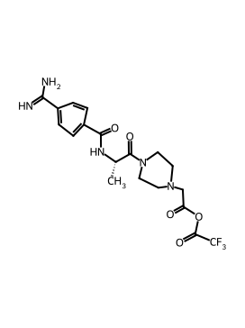 C[C@H](NC(=O)c1ccc(C(=N)N)cc1)C(=O)N1CCN(CC(=O)OC(=O)C(F)(F)F)CC1